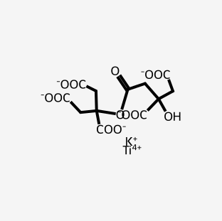 O=C([O-])CC(O)(CC(=O)OC(CC(=O)[O-])(CC(=O)[O-])C(=O)[O-])C(=O)[O-].[K+].[Ti+4]